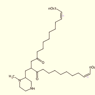 CCCCCCCC/C=C\CCCCCCCC(=O)CC(CC1CNCCN1C)C(=O)CCCCCCC/C=C\CCCCCCCC